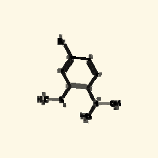 CSc1cc(Br)ccc1B(O)O